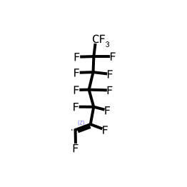 F/[C]=C(\F)C(F)(F)C(F)(F)C(F)(F)C(F)(F)C(F)(F)F